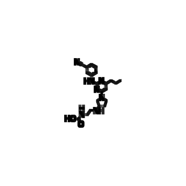 CCCc1cc(N2CCC(NCCNC(=O)O)C2)nc(Nc2cccc(C#N)c2)n1